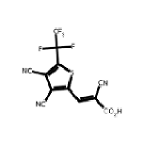 N#C/C(=C\c1sc(C(F)(F)C(F)(F)F)c(C#N)c1C#N)C(=O)O